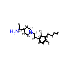 C=CCCc1c(C)ccc(CCN2CCC(C(=C)N)CC2)c1C